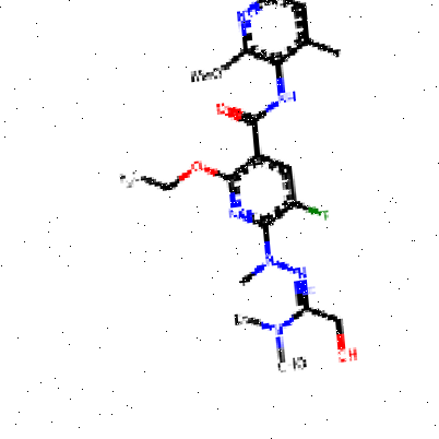 CCN(C=O)/C(CO)=N\N(C)c1nc(OCC(F)(F)F)c(C(=O)Nc2c(C)ccnc2OC)cc1F